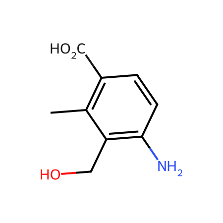 Cc1c(C(=O)O)ccc(N)c1CO